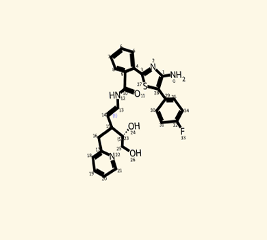 Nc1nc(-c2ccccc2C(=O)N/C=C/C(Cc2ccccn2)[C@H](O)CO)sc1-c1ccc(F)cc1